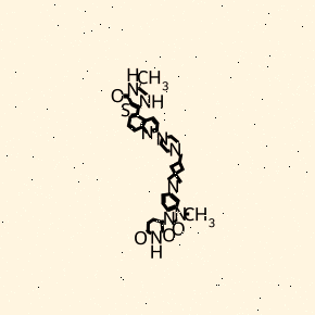 C[C@@H]1CNc2c(sc3ccc4nc(N5CCN(CC6CC7(C6)CN(c6ccc8c(c6)n(C)c(=O)n8C6CCC(=O)NC6=O)C7)CC5)ccc4c23)C(=O)N1